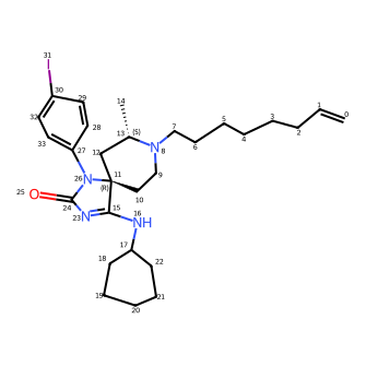 C=CCCCCCCN1CC[C@@]2(C[C@@H]1C)C(NC1CCCCC1)=NC(=O)N2c1ccc(I)cc1